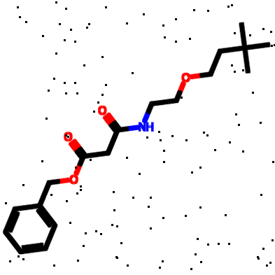 CC(C)(C)CCOCCNC(=O)CC(=O)OCc1ccccc1